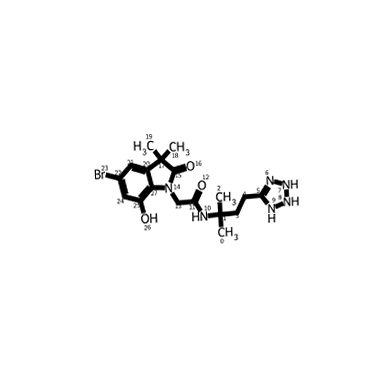 CC(C)(CCC1=NNNN1)NC(=O)CN1C(=O)C(C)(C)c2cc(Br)cc(O)c21